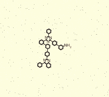 Nc1cccc(-c2ccc(-c3nc(-c4ccccc4)nc(-c4ccccc4-c4cccc(-c5ccc(-c6nc(-c7ccccc7)c7ccccc7n6)cc5)c4)n3)cc2)c1